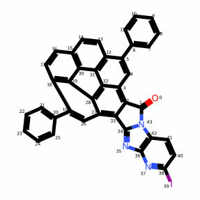 O=c1c2c3cc(-c4ccccc4)c4ccc5ccc6c(-c7ccccc7)cc(c7c6c5c4c37)c2c2nc3nc(I)ccc3n12